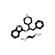 O=C(O)C=CC(=O)O.c1ccc(CC(Oc2noc3ccccc23)C2CCNCC2)cc1